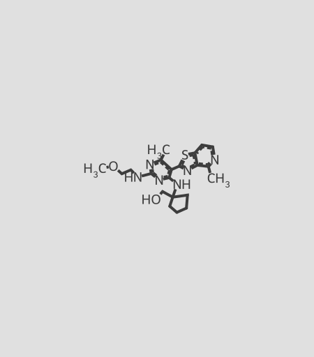 COCCNc1nc(C)c(-c2nc3c(C)nccc3s2)c(NC2(CO)CCCC2)n1